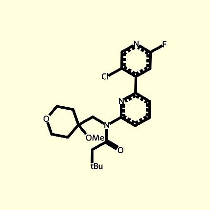 COC1(CN(C(=O)CC(C)(C)C)c2cccc(-c3cc(F)ncc3Cl)n2)CCOCC1